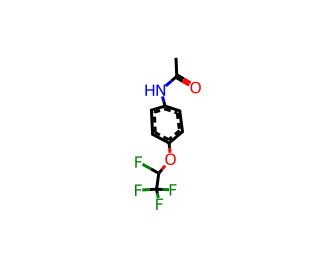 CC(=O)Nc1ccc(OC(F)C(F)(F)F)cc1